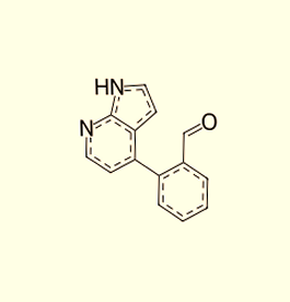 O=Cc1ccccc1-c1ccnc2[nH]ccc12